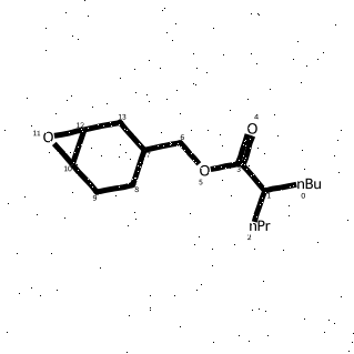 CCCCC(CCC)C(=O)OCC1CCC2OC2C1